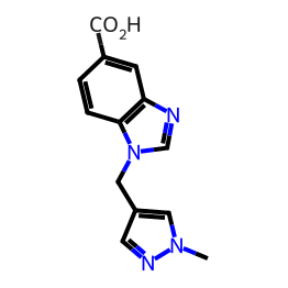 Cn1cc(Cn2cnc3cc(C(=O)O)ccc32)cn1